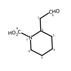 O=CCC1CCCCN1C(=O)O